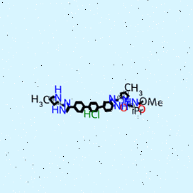 COC(=O)N[C@H](C(=O)N1C[C@@H](C)C[C@H]1c1nc2cc(-c3ccc(-c4ccc(-c5c[nH]c([C@@H]6C[C@H](C)CN6)n5)cc4)cc3)ccc2[nH]1)C(C)C.Cl